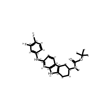 CN(C(=O)OC(C)(C)C)C1CCc2[nH]c3nc(Nc4ccc(F)c(F)c4)ccc3c2C1